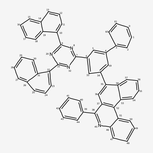 c1ccc(-c2cc(-c3nc(-c4cccc5ccccc45)nc(-c4cccc5ccccc45)n3)cc(-c3cc4c(-c5ccccc5)nc5ccccc5c4c4ccccc34)c2)cc1